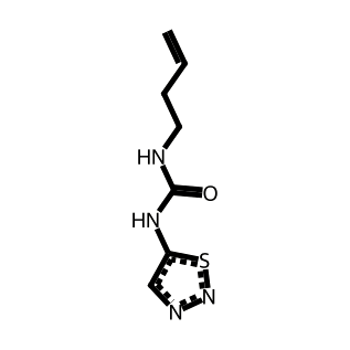 C=CCCNC(=O)Nc1cnns1